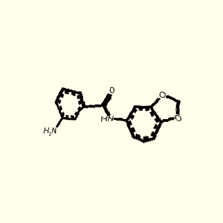 Nc1cccc(C(=O)Nc2ccc3c(c2)OCO3)c1